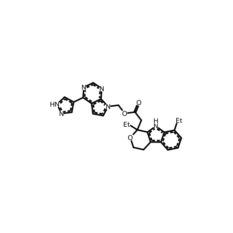 CCc1cccc2c3c([nH]c12)C(CC)(CC(=O)OCn1ccc2c(-c4cn[nH]c4)ncnc21)OCC3